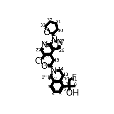 C[C@H]1c2cccc(C(C)(O)CF)c2CCN1C(=O)Cc1c(Cl)cnc2c1cnn2C1CCCCO1